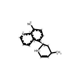 CC1C=CN[C@@H](c2ccc(C#N)c3ncccc23)C1